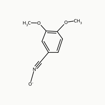 COc1ccc(C#[N+][O-])cc1OC